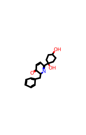 O=C1C=CC(C2(O)CCC(O)CC2)=NC1Cc1ccccc1